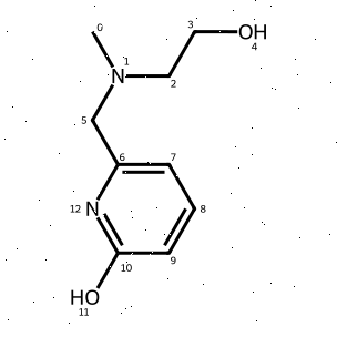 CN(CCO)Cc1cccc(O)n1